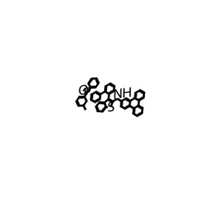 CC1C=CC=C(P(=O)(c2ccccc2)c2cccc(-c3cccc4c3-c3c(sc5ccccc35)C(c3ccc5c6ccccc6c6ccccc6c5c3)N4)c2)C1